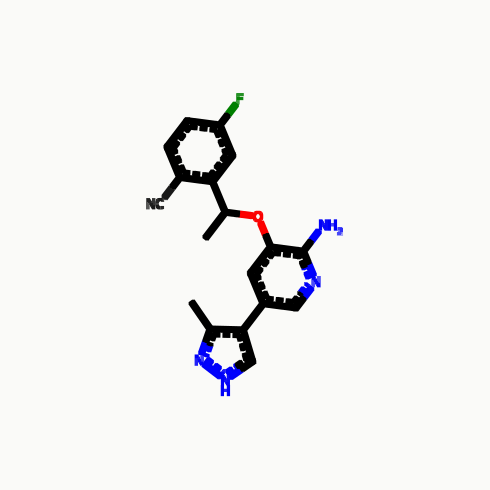 Cc1n[nH]cc1-c1cnc(N)c(OC(C)c2cc(F)ccc2C#N)c1